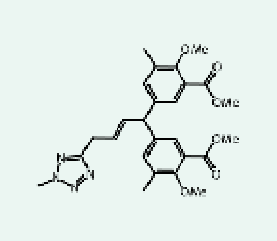 COC(=O)c1cc(C(C=CCc2nnn(C)n2)c2cc(C)c(OC)c(C(=O)OC)c2)cc(C)c1OC